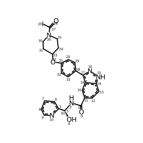 O=C(N[C@@H](O)c1ccccn1)c1ccc2[nH]nc(-c3ccc(OC4CCN(C(=O)I)CC4)cc3)c2c1